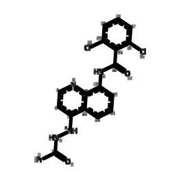 CC(C)C(=O)NNc1ccnc2c(NC(=O)c3c(Cl)cccc3Cl)cccc12